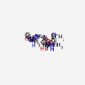 Cc1ncsc1-c1ccc(C(C)NC(=O)[C@@H]2C[C@@H](O)CN2C(=O)C(c2cc(CCCN3CCN4c5cc(-c6ccccc6O)nnc5NCC4C3)no2)C(C)C)cc1